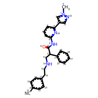 Cn1cc(-c2cccc(NC(=O)C(CNCCc3ccc(C#N)cc3)c3ccccc3)n2)cn1